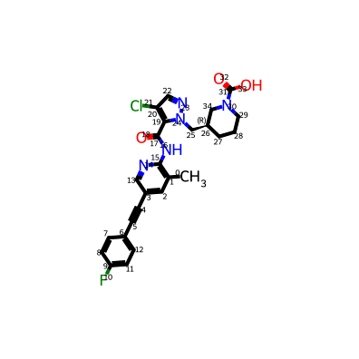 Cc1cc(C#Cc2ccc(F)cc2)cnc1NC(=O)c1c(Cl)cnn1C[C@@H]1CCCN(C(=O)O)C1